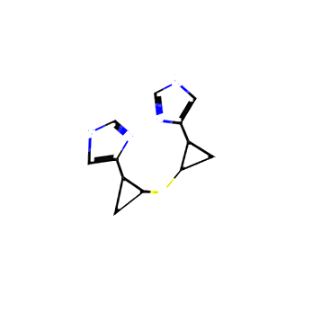 c1nc(C2CC2SC2CC2c2c[nH]cn2)c[nH]1